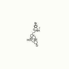 CC[C@H](NC(=O)C[C@@H](C)C1CC[C@H]2C3[C@H](O)CC4CC(=O)CCC4(C)[C@H]3CCC12C)c1ccc(Br)s1